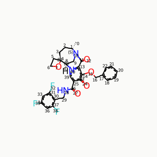 C[C@H]1CC[C@@]2(CCO2)[C@H]2CN1C(=O)c1c(OCc3ccccc3)c(=O)c(C(=O)NCc3c(F)cc(F)cc3F)cn12